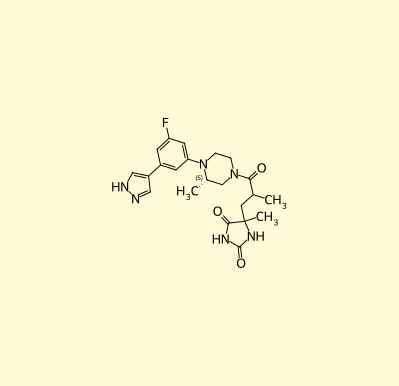 CC(CC1(C)NC(=O)NC1=O)C(=O)N1CCN(c2cc(F)cc(-c3cn[nH]c3)c2)[C@@H](C)C1